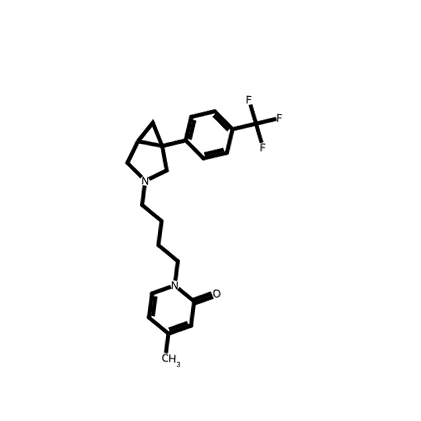 Cc1ccn(CCCCN2CC3CC3(c3ccc(C(F)(F)F)cc3)C2)c(=O)c1